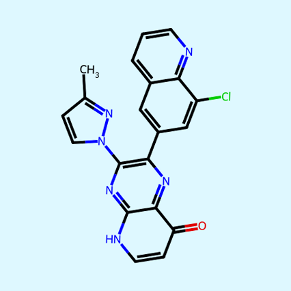 Cc1ccn(-c2nc3[nH]ccc(=O)c3nc2-c2cc(Cl)c3ncccc3c2)n1